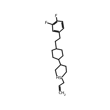 C=CC[SiH]1CCC(C2CCC(CCc3ccc(F)c(F)c3)CC2)CC1